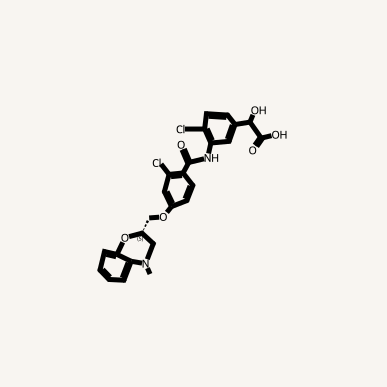 CN1C[C@@H](COc2ccc(C(=O)Nc3cc(C(O)C(=O)O)ccc3Cl)c(Cl)c2)Oc2ccccc21